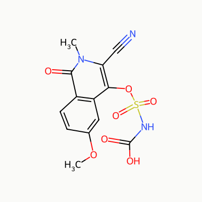 COc1ccc2c(=O)n(C)c(C#N)c(OS(=O)(=O)NC(=O)O)c2c1